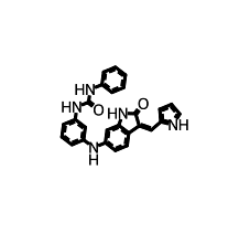 O=C(Nc1ccccc1)Nc1cccc(Nc2ccc3c(c2)NC(=O)C3=Cc2ccc[nH]2)c1